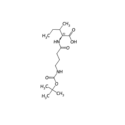 CCC(C)[C@H](NC(=O)CCCNC(=O)OC(C)(C)C)C(=O)O